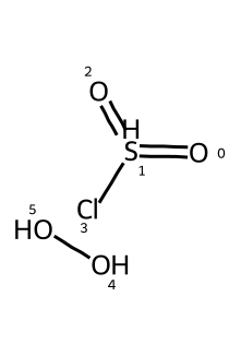 O=[SH](=O)Cl.OO